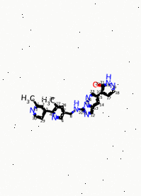 Cc1cc(-c2ncc(CNc3ncc4cc(-c5ccn[nH]c5=O)cnn34)cc2C)ccn1